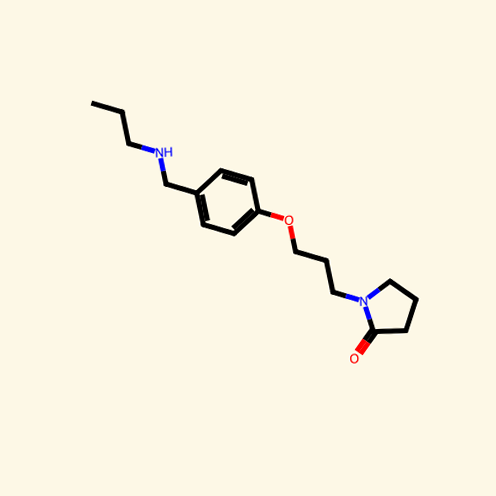 CCCNCc1ccc(OCCCN2CCCC2=O)cc1